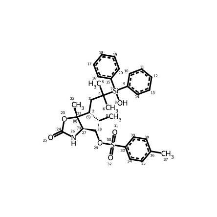 CC[C@@H](CC(C)(C)[Si](O)(c1ccccc1)c1ccccc1)[C@@]1(C)OC(=O)N[C@@H]1COS(=O)(=O)c1ccc(C)cc1